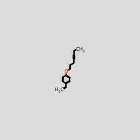 C=Cc1ccc(OCCCC#CCC)cc1